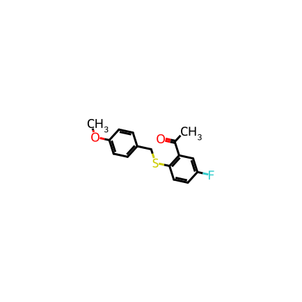 COc1ccc(CSc2ccc(F)cc2C(C)=O)cc1